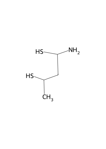 CC(S)CC(N)S